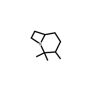 CC1CCC2CCN2C1(C)C